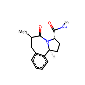 CN[C@@H]1Cc2ccccc2[C@@H]2CC[C@@H](C(=O)NC(C)C)N2C1=O